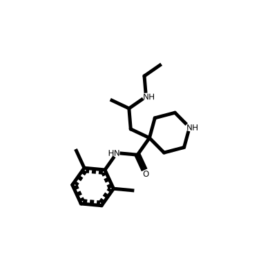 CCNC(C)CC1(C(=O)Nc2c(C)cccc2C)CCNCC1